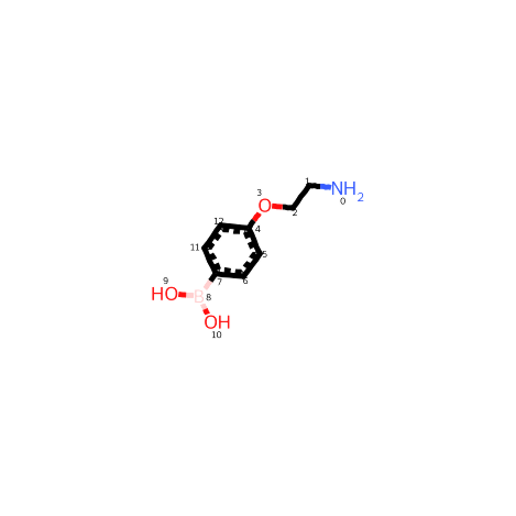 NCCOc1ccc(B(O)O)cc1